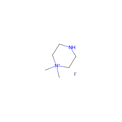 C[N+]1(C)CCNCC1.[I-]